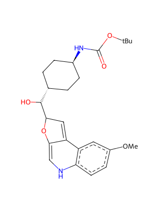 COc1ccc2c(c1)C1=CC(C(O)[C@H]3CC[C@H](NC(=O)OC(C)(C)C)CC3)OC1=CN2